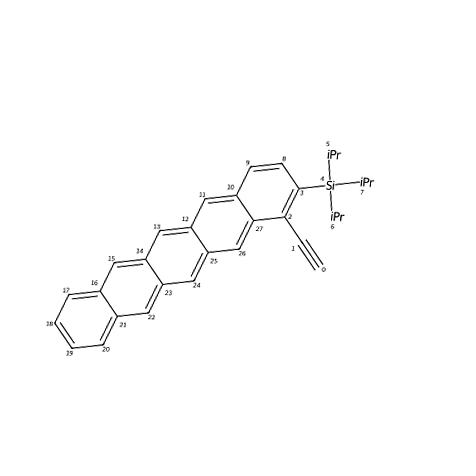 C#Cc1c([Si](C(C)C)(C(C)C)C(C)C)ccc2cc3cc4cc5ccccc5cc4cc3cc12